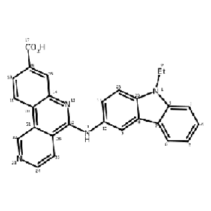 CCn1c2ccccc2c2cc(Nc3nc4cc(C(=O)O)ccc4c4cnccc34)ccc21